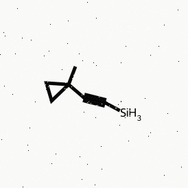 CC1(C#C[SiH3])CC1